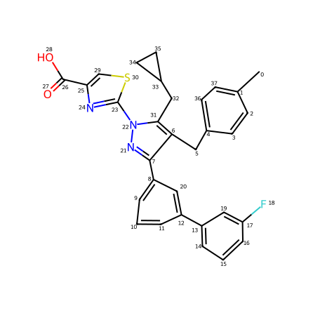 Cc1ccc(Cc2c(-c3cccc(-c4cccc(F)c4)c3)nn(-c3nc(C(=O)O)cs3)c2CC2CC2)cc1